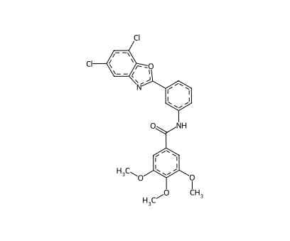 COc1cc(C(=O)Nc2cccc(-c3nc4cc(Cl)cc(Cl)c4o3)c2)cc(OC)c1OC